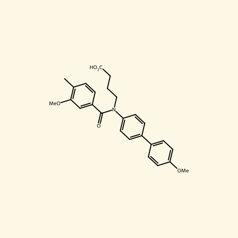 COc1ccc(-c2ccc(N(CCCC(=O)O)C(=O)c3ccc(C)c(OC)c3)cc2)cc1